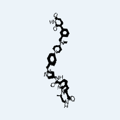 C[C@@H]1CNC(=O)c2cc3ccc(C(=O)Nc4cnn(Cc5ccc(N6CCC(N(C)Cc7cccc(C8CCC(=O)NC8=O)c7)CC6)cc5)c4)nc3n21